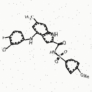 COc1ccc(S(=O)(=O)NC(=O)c2cc3c(Nc4ccc(F)c(Cl)c4)cc(C)cc3[nH]2)cc1